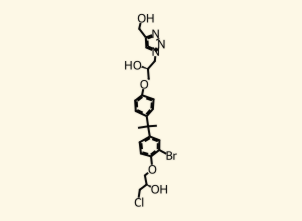 CC(C)(c1ccc(OC[C@@H](O)Cn2cc(CO)nn2)cc1)c1ccc(OC[C@@H](O)CCl)c(Br)c1